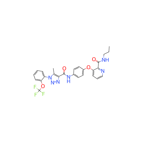 CCCNC(=O)c1ncccc1Oc1ccc(NC(=O)c2nnn(-c3ccccc3OC(F)(F)F)c2C)cc1